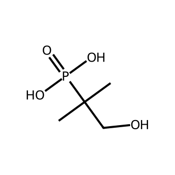 CC(C)(CO)P(=O)(O)O